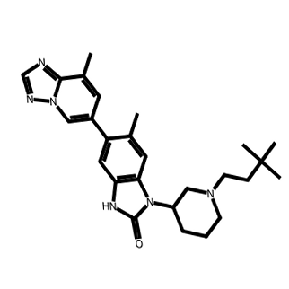 Cc1cc2c(cc1-c1cc(C)c3ncnn3c1)[nH]c(=O)n2C1CCCN(CCC(C)(C)C)C1